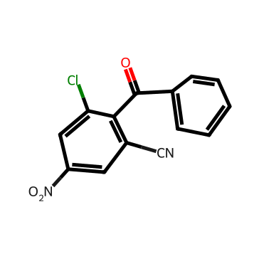 N#Cc1cc([N+](=O)[O-])cc(Cl)c1C(=O)c1ccccc1